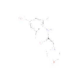 Cc1cc(O)cc(C)c1NC(=O)CN1CCOCC1